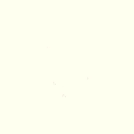 O=C(Nc1ccccc1OC(F)(F)F)N[C@H]1CC[C@@H](Oc2ccc(F)cc2)CC1